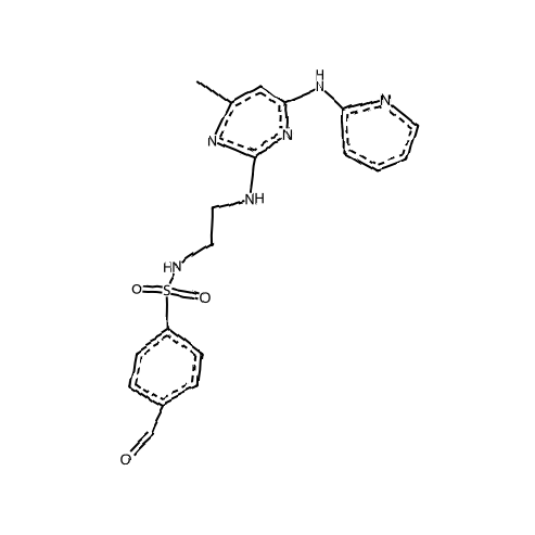 Cc1cc(Nc2ccccn2)nc(NCCNS(=O)(=O)c2ccc(C=O)cc2)n1